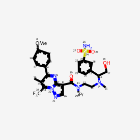 COc1ccc(-c2nc3c(C(=O)N(CCN(C)C(CO)c4cccc(S(N)(=O)=O)c4)C(C)C)cnn3c(C(F)(F)F)c2C)cc1